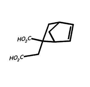 O=C(O)CC1(C(=O)O)CC2C=CC1C2